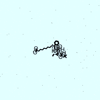 C=C[C@@H]1C[C@]1(NC(=O)OC(C)(C)C)C(=O)NS(=O)(=O)c1ccccc1NCCCCCCCCC(=O)OC